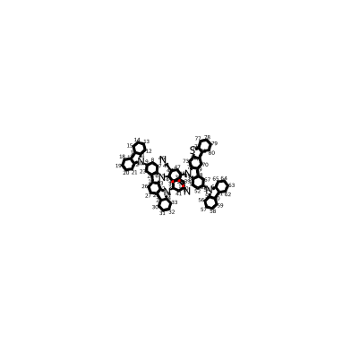 N#Cc1cc(-n2c3ccc(-n4c5ccccc5c5ccccc54)cc3c3ccc4c5ccccc5n(-c5ccccc5)c4c32)c(C#N)cc1-n1c2ccc(-n3c4ccccc4c4ccccc43)cc2c2cc3c(cc21)sc1ccccc13